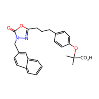 CC(C)(Oc1ccc(CCCc2nn(Cc3ccc4ccccc4c3)c(=O)o2)cc1)C(=O)O